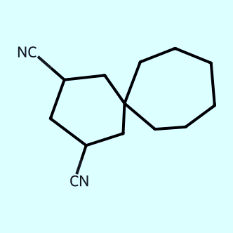 N#CC1CC(C#N)CC2(CCCCCC2)C1